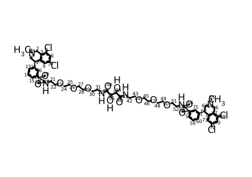 CN1Cc2c(Cl)cc(Cl)cc2[C@@H](c2cccc(S(=O)(=O)NCCOCCOCCOCCNC(=O)C(O)C(O)C(=O)NCCOCCOCCOCCNS(=O)(=O)c3cccc([C@H]4CN(C)Cc5c(Cl)cc(Cl)cc54)c3)c2)C1